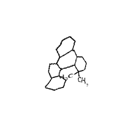 CC1(C)CCCC2C3CCCCC3C3CCC4CCCCC4C3C21